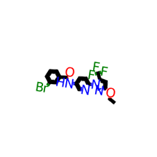 CCOc1cc(C(F)(F)F)n(-c2ccc(NC(=O)c3cccc(Br)c3)cn2)n1